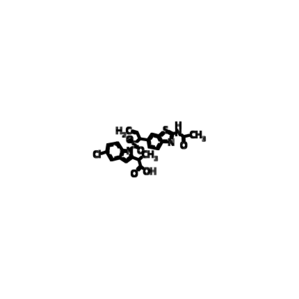 C=CC(c1ccc2nc(NC(C)=O)sc2c1)S(=O)(=O)n1c(C(C)C(=O)O)cc2cc(Cl)ccc21